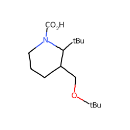 CC(C)(C)OCC1CCCN(C(=O)O)C1C(C)(C)C